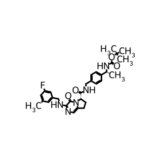 Cc1cc(F)cc(CNc2ncc3n(c2=O)[C@H](C(=O)NCc2ccc([C@@H](C)NC(=O)OC(C)(C)C)cc2)CC3)c1